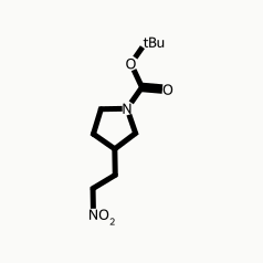 CC(C)(C)OC(=O)N1CCC(CC[N+](=O)[O-])C1